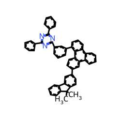 CC1(C)c2ccccc2-c2cc(-c3ccc4c(c3)c3ccccc3c3cccc(-c5cccc(-c6nc(-c7ccccc7)nc(-c7ccccc7)n6)c5)c34)ccc21